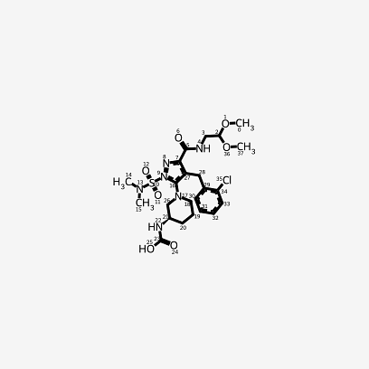 COC(CNC(=O)c1nn(S(=O)(=O)N(C)C)c(N2CCC[C@@H](NC(=O)O)C2)c1Cc1ccccc1Cl)OC